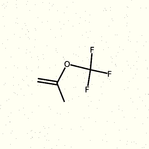 C=C(C)OC(F)(F)F